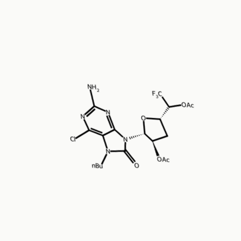 CCCCn1c(=O)n([C@@H]2O[C@H](C(OC(C)=O)C(F)(F)F)C[C@H]2OC(C)=O)c2nc(N)nc(Cl)c21